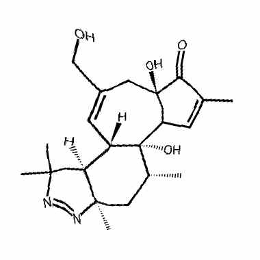 CC1=CC2[C@@]3(O)[C@H](C)C[C@@]4(C)N=NC(C)(C)[C@H]4[C@@H]3C=C(CO)C[C@]2(O)C1=O